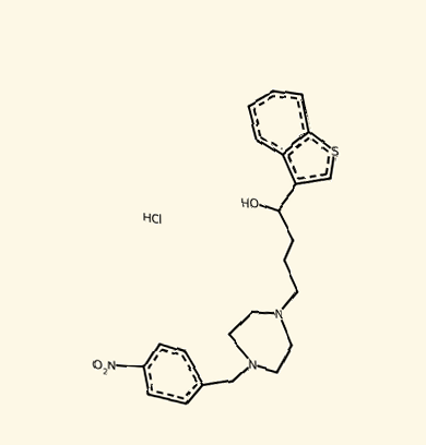 Cl.O=[N+]([O-])c1ccc(CN2CCN(CCCC(O)c3csc4ccccc34)CC2)cc1